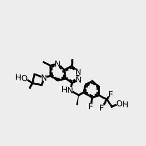 Cc1nc2c(C)nnc(N[C@H](C)c3cccc(C(F)(F)CO)c3F)c2cc1N1CC(C)(O)C1